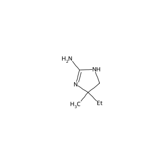 CCC1(C)CNC(N)=N1